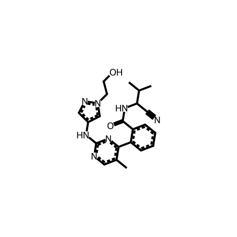 Cc1cnc(Nc2cnn(CCO)c2)nc1-c1ccccc1C(=O)NC(C#N)C(C)C